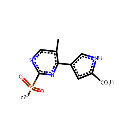 CCCS(=O)(=O)c1ncc(C)c(-c2c[nH]c(C(=O)O)c2)n1